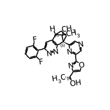 C[C@@H](O)c1coc(-c2cncc([C@@]34CC[C@@H](c5cc(-c6c(F)cccc6F)nnc53)C4(C)C)n2)n1